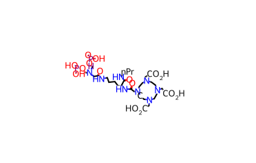 CCCNC(=O)[C@@H](CCCCNC(=O)CN(COP(O)O)CO[PH](=O)O)NC(=O)CN1CCN(CC(=O)O)CCN(CC(=O)O)CCN(CC(=O)O)CC1